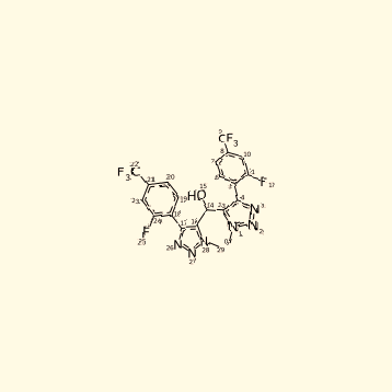 Cn1nnc(-c2ccc(C(F)(F)F)cc2F)c1C(O)c1c(-c2ccc(C(F)(F)F)cc2F)nnn1C